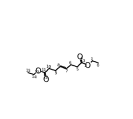 CCOC(=O)CC/C=C/CCC(=O)OCC